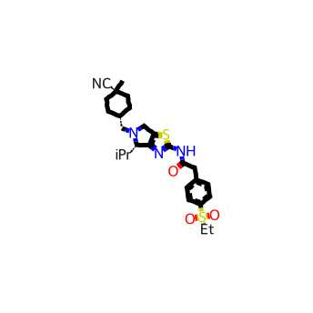 CCS(=O)(=O)c1ccc(CC(=O)Nc2nc3c(s2)CN(C[C@H]2CC[C@@](C)(C#N)CC2)[C@H]3C(C)C)cc1